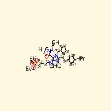 C#CCN(C)C(=O)c1c(N(C=O)CCCCP(=O)(OCC)OCC)nc(CCc2ccc(C(C)C)cc2)n1CC1CCCC1